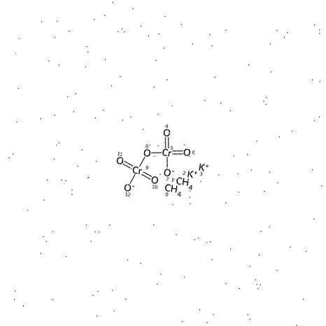 C.C.[K+].[K+].[O]=[Cr](=[O])([O-])[O][Cr](=[O])(=[O])[O-]